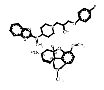 CN(c1nc2ccccc2s1)C1CCN(CC(O)COc2ccc(F)cc2)CC1.COc1ccc2c3c1O[C@H]1C[C@@H](O)C=C[C@@]31CCN(C)C2